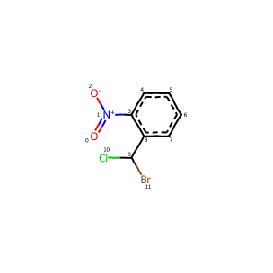 O=[N+]([O-])c1ccccc1C(Cl)Br